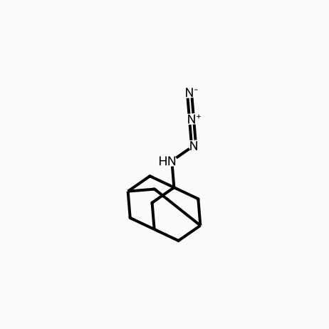 [N-]=[N+]=NNC12CC3CC(CC(C3)C1)C2